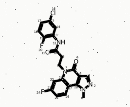 Cn1ncc2c(=O)n(CCC(=O)Nc3cc(Cl)ccc3F)c3cc(F)ccc3c21